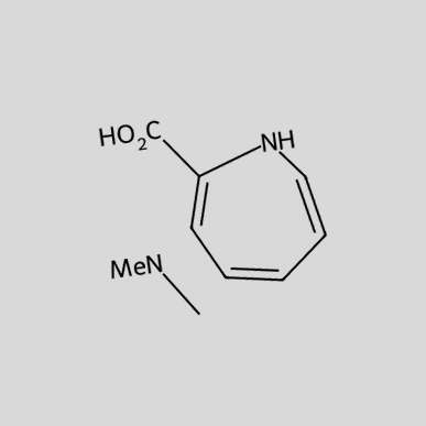 CNC.O=C(O)C1=CC=CC=CN1